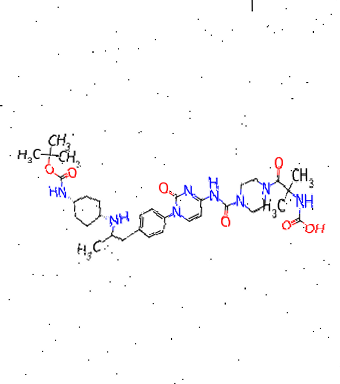 CC(Cc1ccc(-n2ccc(NC(=O)N3CCN(C(=O)C(C)(C)NC(=O)O)CC3)nc2=O)cc1)N[C@H]1CC[C@@H](NC(=O)OC(C)(C)C)CC1